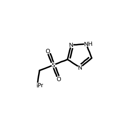 CC(C)CS(=O)(=O)c1nc[nH]n1